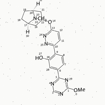 COc1ncnc(-c2ccc(-c3ccc(OC4C[C@H]5CC[C@@H](C4)N5C)nn3)c(O)c2)n1